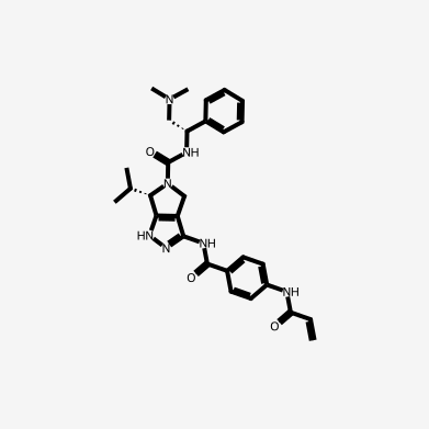 C=CC(=O)Nc1ccc(C(=O)Nc2n[nH]c3c2CN(C(=O)N[C@H](CN(C)C)c2ccccc2)[C@H]3C(C)C)cc1